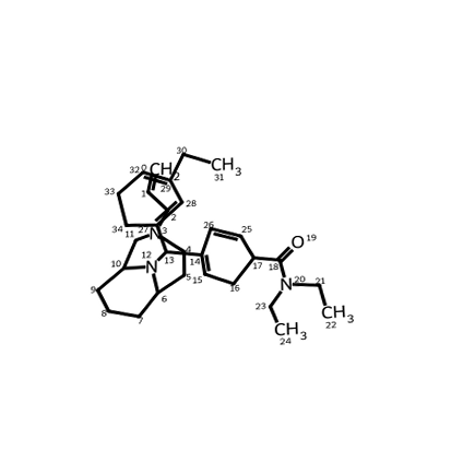 C=CCN1CCC2CCCC(C1)N2C(C1=CCC(C(=O)N(CC)CC)C=C1)C1=CC(CC)=CCC1